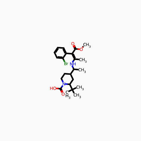 COC(=O)/C(=C(\C)NC(C)C1CCN(C(=O)O)C(C(C)(C)C)C1)c1ccccc1Br